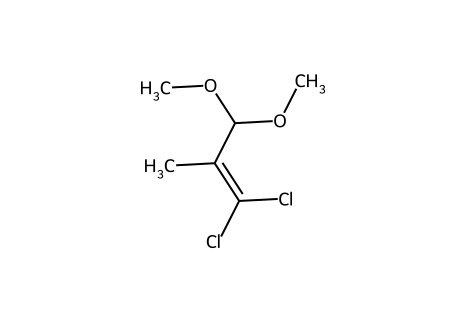 COC(OC)C(C)=C(Cl)Cl